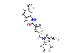 O=C(Nc1cc(C(F)(F)F)ccc1Cl)c1csc(Cn2cc(C(F)(F)F)c3c2CCCC3)n1